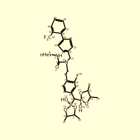 CCCCCCNC(=O)N(CCc1ccc(C([P]2(O)OC(C)C(C)O2)[P]2(O)OC(C)C(C)O2)cc1F)Cc1ccc(-c2ccccc2C(F)(F)F)cc1